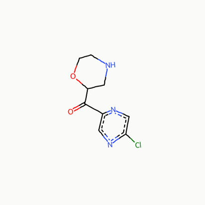 O=C(c1cnc(Cl)cn1)C1CNCCO1